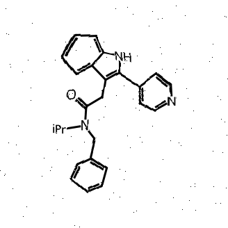 CC(C)N(Cc1ccccc1)C(=O)Cc1c(-c2ccncc2)[nH]c2ccccc12